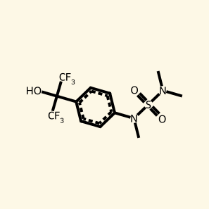 CN(C)S(=O)(=O)N(C)c1ccc(C(O)(C(F)(F)F)C(F)(F)F)cc1